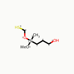 CO[Si](C)(CCCO)OCS